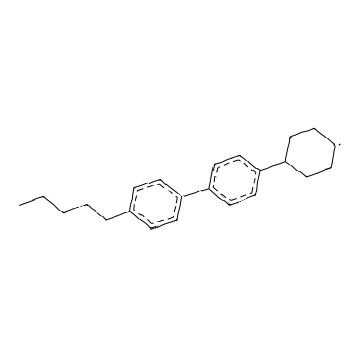 CCCCCc1ccc(-c2ccc(C3CC[CH]CC3)cc2)cc1